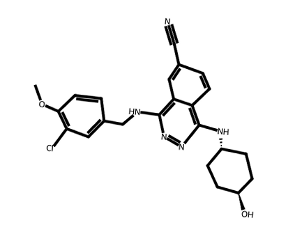 COc1ccc(CNc2nnc(N[C@H]3CC[C@H](O)CC3)c3ccc(C#N)cc23)cc1Cl